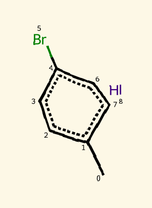 Cc1ccc(Br)cc1.I